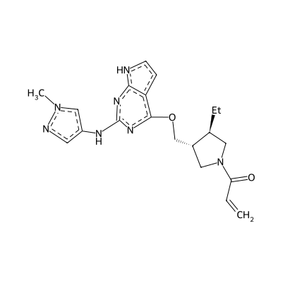 C=CC(=O)N1C[C@H](CC)[C@@H](COc2nc(Nc3cnn(C)c3)nc3[nH]ccc23)C1